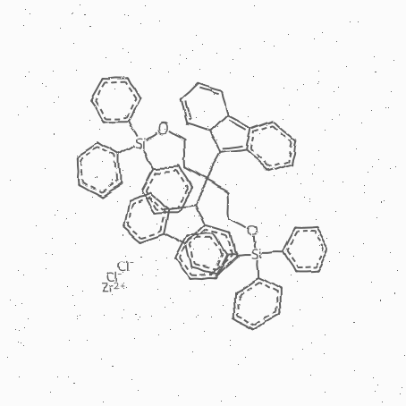 C1=CC2=c3ccccc3=C(C(CCO[Si](c3ccccc3)(c3ccccc3)c3ccccc3)(CCO[Si](c3ccccc3)(c3ccccc3)c3ccccc3)C3c4ccccc4-c4ccccc43)C2C=C1.[Cl-].[Cl-].[Zr+2]